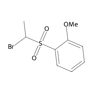 COc1ccccc1S(=O)(=O)C(C)Br